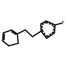 Fc1ccc(CCC2=CC=CCC2)cc1